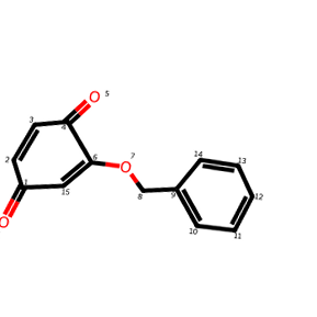 O=C1C=CC(=O)C(OCc2ccccc2)=C1